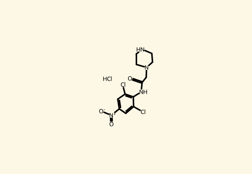 Cl.O=C(CN1CCNCC1)Nc1c(Cl)cc([N+](=O)[O-])cc1Cl